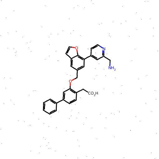 NCc1cc(-c2cc(COc3cc(-c4ccccc4)ccc3CC(=O)O)cc3ccoc23)ccn1